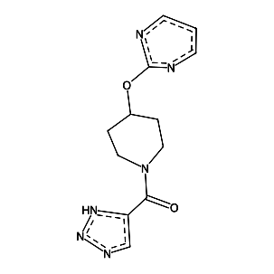 O=C(c1cnn[nH]1)N1CCC(Oc2ncccn2)CC1